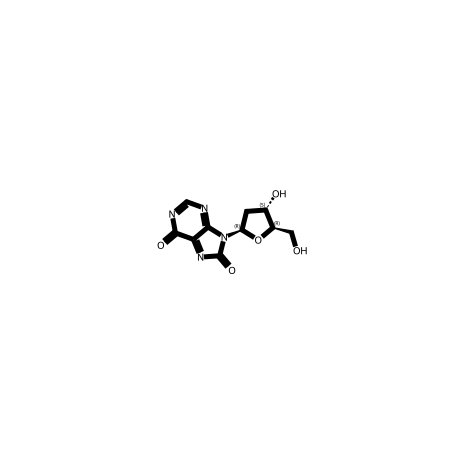 O=C1N=CN=C2C1=NC(=O)N2[C@H]1C[C@H](O)[C@@H](CO)O1